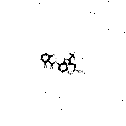 CN(C)Cc1c(C(F)(F)F)nc2c(NC(=O)c3c(Cl)cccc3Cl)cccn12